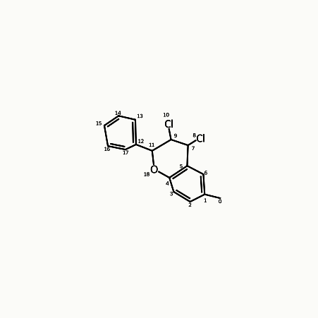 Cc1ccc2c(c1)C(Cl)C(Cl)C(c1ccccc1)O2